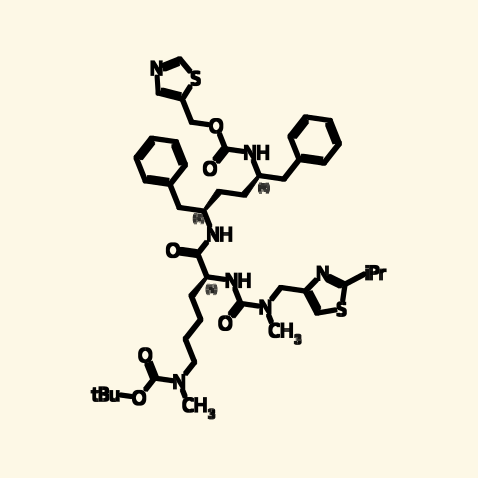 CC(C)c1nc(CN(C)C(=O)N[C@@H](CCCCN(C)C(=O)OC(C)(C)C)C(=O)N[C@H](CC[C@H](Cc2ccccc2)NC(=O)OCc2cncs2)Cc2ccccc2)cs1